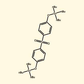 CCC[CH2][Sn]([CH2]CCC)([CH2]CCC)[O]c1ccc(S(=O)(=O)c2ccc([O][Sn]([CH2]CCC)([CH2]CCC)[CH2]CCC)cc2)cc1